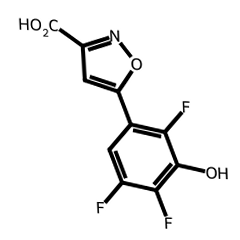 O=C(O)c1cc(-c2cc(F)c(F)c(O)c2F)on1